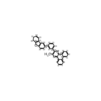 Cc1nc2c3ccccc3c3ccccc3c2nc1-c1cccc(-c2ccc3oc4c(c3c2)C=CCC4)c1